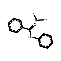 CCNCC.O=C(Nc1ccccc1)c1ccccc1